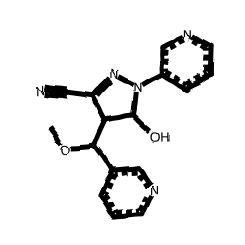 COC(c1cccnc1)C1C(C#N)=NN(c2cccnc2)C1O